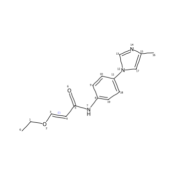 CCO/C=C/C(=O)Nc1ccc(-n2cnc(C)c2)cc1